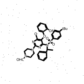 COc1ccccc1Oc1c([O])nc(N2CCN(C=O)CC2)nc1N(C(C)c1ccccc1)S(=O)(=O)c1ccc(C(C)(C)C)cc1